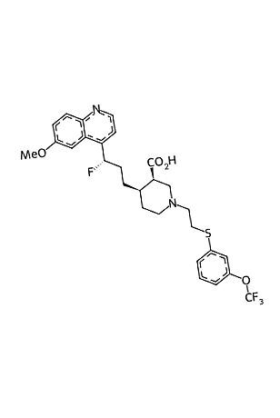 COc1ccc2nccc([C@@H](F)CC[C@@H]3CCN(CCSc4cccc(OC(F)(F)F)c4)C[C@@H]3C(=O)O)c2c1